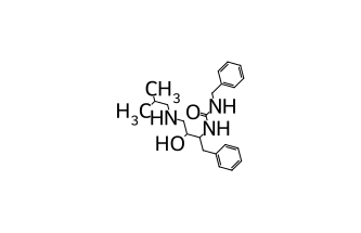 CC(C)CNCC(O)C(Cc1ccccc1)NC(=O)NCc1ccccc1